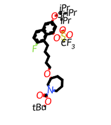 CC(C)[Si](Oc1cc(OS(=O)(=O)C(F)(F)F)c2c(CCCCCOC3CCCCN(C(=O)OC(C)(C)C)C3)c(F)ccc2c1)(C(C)C)C(C)C